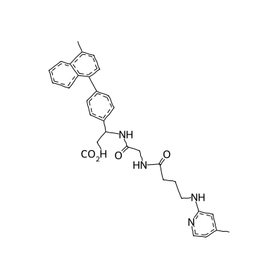 Cc1ccnc(NCCCC(=O)NCC(=O)NC(CC(=O)O)c2ccc(-c3ccc(C)c4ccccc34)cc2)c1